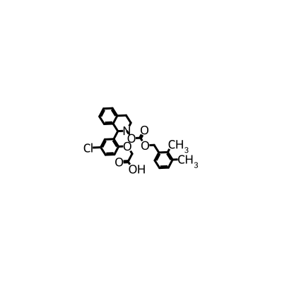 Cc1cccc(COC(=O)ON2CCc3ccccc3C2c2cc(Cl)ccc2OCC(=O)O)c1C